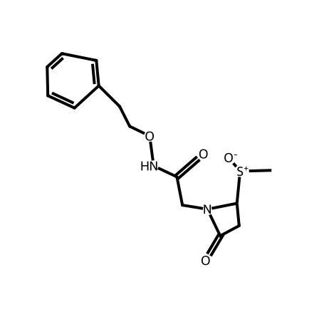 C[S+]([O-])C1CC(=O)N1CC(=O)NOCCc1ccccc1